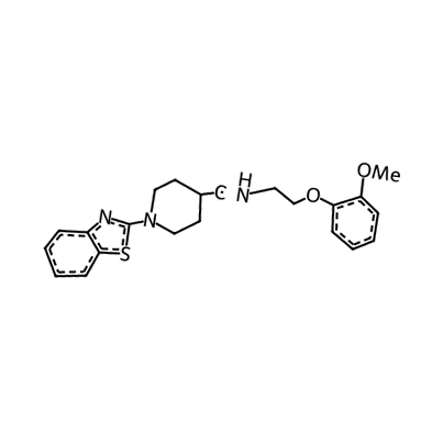 COc1ccccc1OCCNCC1CCN(c2nc3ccccc3s2)CC1